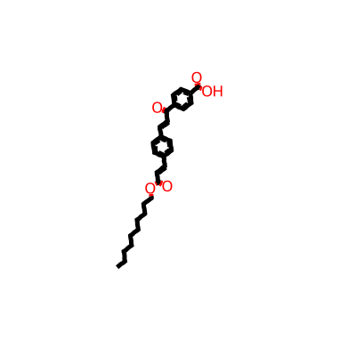 CCCCCCCCCCOC(=O)C=Cc1ccc(/C=C/C(=O)c2ccc(C(=O)O)cc2)cc1